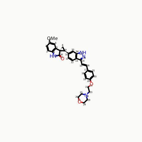 COc1ccc2c(c1)[C@]1(C[C@H]1c1ccc3c(/C=C/c4ccc(OCCN5CCOCC5)cc4)n[nH]c3c1)C(=O)N2